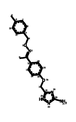 C/C(=N\OCc1ccc(C)cc1)c1ccc(OCc2nc(N)n[nH]2)cc1